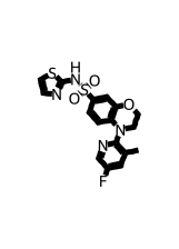 Cc1cc(F)cnc1N1CCOc2cc(S(=O)(=O)Nc3nccs3)ccc21